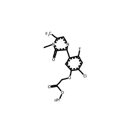 CCCOC(=O)COc1cc(-c2ncc(C(F)(F)F)n(C)c2=O)c(F)cc1Cl